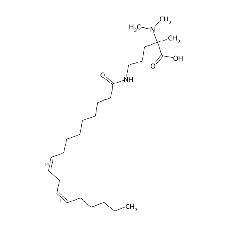 CCCCC/C=C\C/C=C\CCCCCCCC(=O)NCCCC(C)(C(=O)O)N(C)C